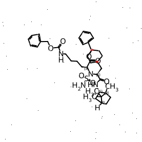 CC1(C)[C@@H]2CC[C@@]1(C)[C@@H](NC(=O)[C@H](CC1CCCCC1)N([C@@H](CCCCNC(=O)OCc1ccccc1)C(=O)OCc1ccccc1)S(N)(=O)=O)C2